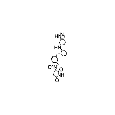 O=C1CCC(N2Cc3cc(C[C@H]4CCCC[C@@H]4N[C@H]4CCc5cn[nH]c5C4)ccc3C2=O)C(=O)N1